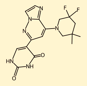 CC1(C)CN(c2cc(-c3c[nH]c(=O)[nH]c3=O)nn3ccnc23)CC(F)(F)C1